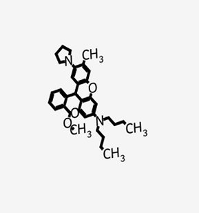 CCCCN(CCCC)c1ccc2c(c1)Oc1cc(C)c(N3CCCC3)cc1C2c1ccccc1C(=O)OC